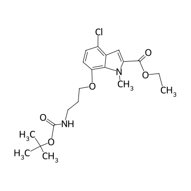 CCOC(=O)c1cc2c(Cl)ccc(OCCCNC(=O)OC(C)(C)C)c2n1C